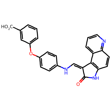 O=C1Nc2ccc3ncccc3c2/C1=C/Nc1ccc(Oc2cccc(C(=O)O)c2)cc1